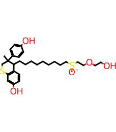 CC1(c2ccc(O)cc2)CSc2cc(O)ccc2C1CCCCCCCCC[S+]([O-])CCOCCO